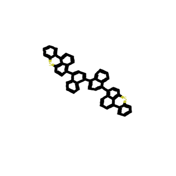 c1ccc2c(c1)Sc1ccc(-c3ccc(-c4ccc(-c5ccc6c7c(cccc57)-c5ccccc5S6)c5ccccc45)c4ccccc34)c3cccc-2c13